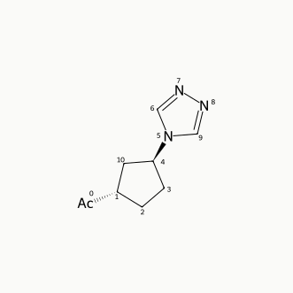 CC(=O)[C@H]1CC[C@H](n2cnnc2)C1